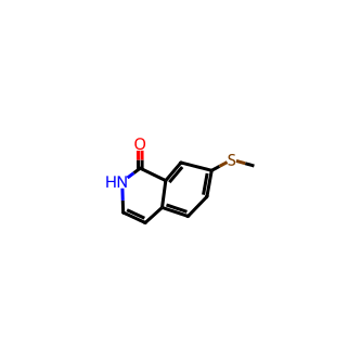 CSc1ccc2cc[nH]c(=O)c2c1